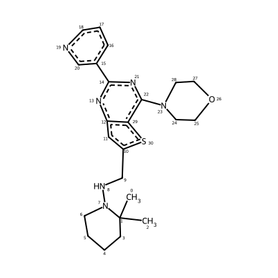 CC1(C)CCCCN1NCc1cc2nc(-c3cccnc3)nc(N3CCOCC3)c2s1